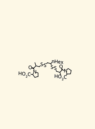 CCCCCCC(CSSCC(C)C(=O)N1CCCC1C(=O)O)SSCC(C)C(=O)N1CCCC1C(=O)O